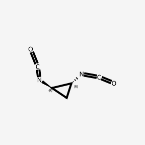 O=C=N[C@@H]1C[C@H]1N=C=O